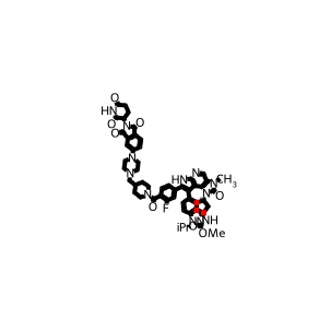 COC(=O)N[C@@H]1CC[C@@H](n2c(=O)n(C)c3cnc4[nH]c(-c5ccc(C(=O)N6CCC(CN7CCN(c8ccc9c(c8)C(=O)N(C8CCC(=O)NC8=O)C9=O)CC7)CC6)c(F)c5)c(-c5ccc6c(cnn6C(C)C)c5)c4c32)C1